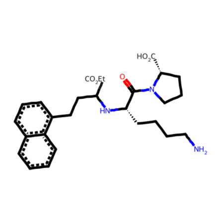 CCOC(=O)C(CCc1cccc2ccccc12)N[C@@H](CCCCN)C(=O)N1CCC[C@H]1C(=O)O